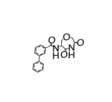 O=C1COCC(NC(=O)c2cccc(-c3ccccc3)c2)C(=O)N1